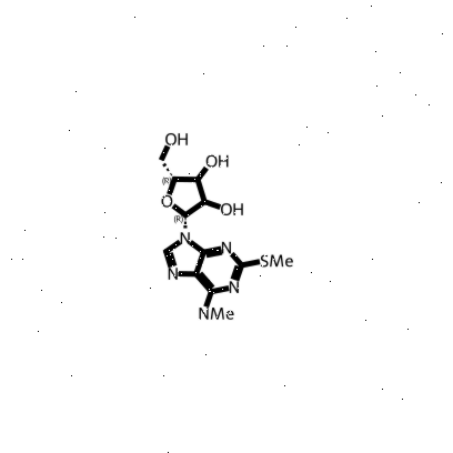 CNc1nc(SC)nc2c1ncn2[C@@H]1O[C@H](CO)C(O)C1O